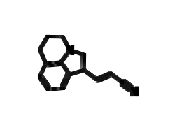 N#C/C=C/c1cn2c3c(cccc13)CCC2